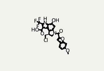 COc1ccc2cc(C(=O)N3C[C@@H](CCl)c4c3cc(O)c3[nH]c(C(F)(F)F)c(C(=O)O)c43)oc2c1